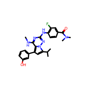 CNc1nc(Nc2ccc(C(=O)N(C)C)cc2F)nn2c(C(C)C)cc(-c3cccc(O)c3)c12